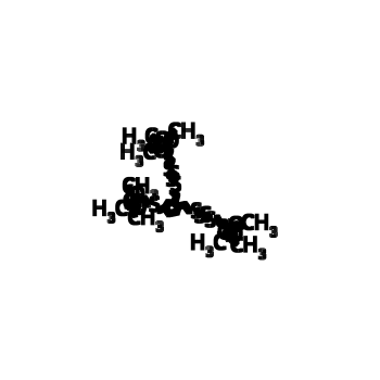 CCO[Si](CCCSSSSCCC1CCC(CSCC[Si](OCC)(OCC)OCC)CC1CCSSSSCCC[Si](OCC)(OCC)OCC)(OCC)OCC